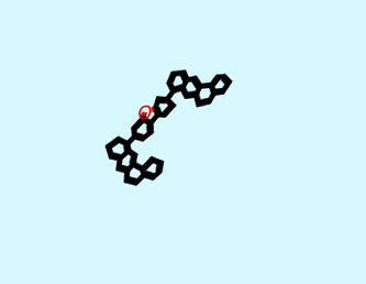 c1cc(-c2ccc3c(c2)oc2cc(-c4cccc5cc6ccc7ccccc7c6cc45)ccc23)c2cc3ccc4ccccc4c3cc2c1